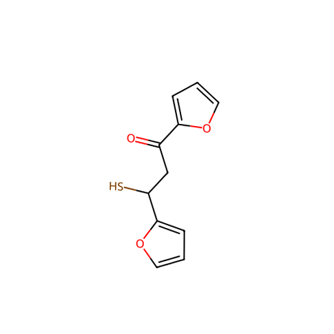 O=C(CC(S)c1ccco1)c1ccco1